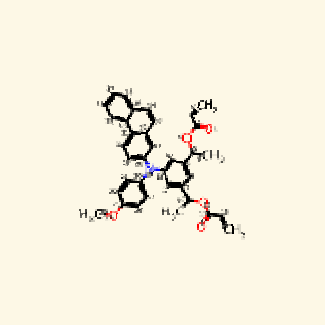 C=CC(=O)OC(C)c1cc(C(C)OC(=O)C=C)cc(N(c2ccc(OC)cc2)c2ccc3c(ccc4ccccc43)c2)c1